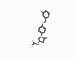 NC(=O)N[C@@H]1CC(=O)N(c2ccc(OCc3cccc(F)c3)cc2)C1